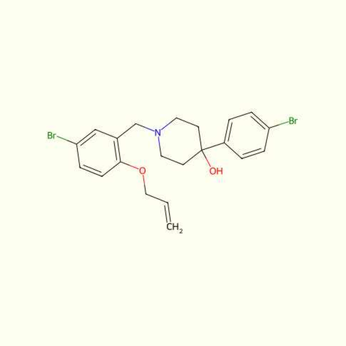 C=CCOc1ccc(Br)cc1CN1CCC(O)(c2ccc(Br)cc2)CC1